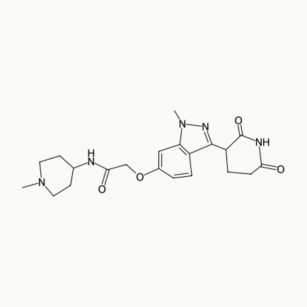 CN1CCC(NC(=O)COc2ccc3c(C4CCC(=O)NC4=O)nn(C)c3c2)CC1